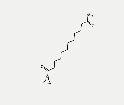 NC(=O)CCCCCCCCCCC(=O)N1CC1